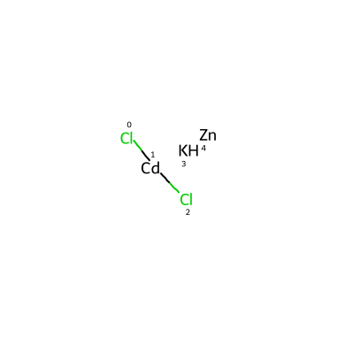 [Cl][Cd][Cl].[KH].[Zn]